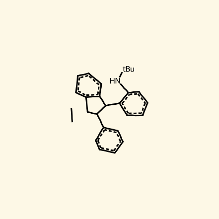 CC.CC(C)(C)Nc1ccccc1C1c2ccccc2CC1c1ccccc1